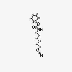 N#COCCCCCCNC(=O)Oc1ccccc1